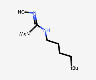 CN/C(=N\C#N)NCCCCC(C)(C)C